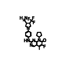 Cc1c(F)c(=O)n(C2CCCC2)c2nc(Nc3ccc(N4CC(CN)C(C(F)(F)F)C4)cc3)ncc12